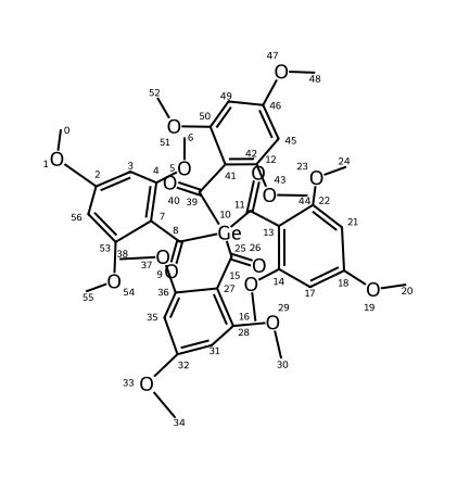 COc1cc(OC)c([C](=O)[Ge]([C](=O)c2c(OC)cc(OC)cc2OC)([C](=O)c2c(OC)cc(OC)cc2OC)[C](=O)c2c(OC)cc(OC)cc2OC)c(OC)c1